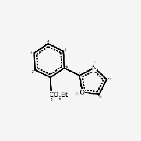 CCOC(=O)c1ccccc1-c1ncco1